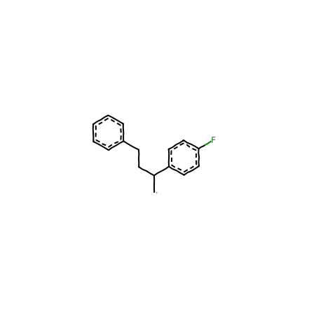 [CH2]C(CCc1ccccc1)c1ccc(F)cc1